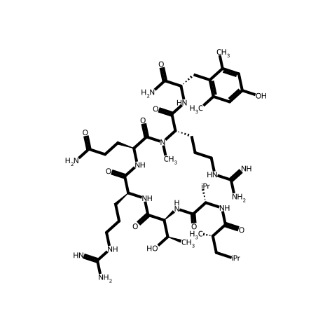 Cc1cc(O)cc(C)c1C[C@H](NC(=O)[C@H](CCCNC(=N)N)N(C)C(=O)[C@H](CCC(N)=O)NC(=O)[C@H](CCCNC(=N)N)NC(=O)[C@@H](NC(=O)[C@@H](NC(=O)[C@@H](C)CC(C)C)C(C)C)[C@@H](C)O)C(N)=O